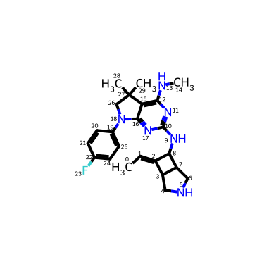 C/C=C1\C2CNCC2C1Nc1nc(NC)c2c(n1)N(c1ccc(F)cc1)CC2(C)C